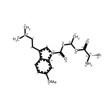 COc1ccc2c(CCN(C)C)cn(C(=O)OC(C)OC(=O)[C@@H](N)C(C)C)c2c1